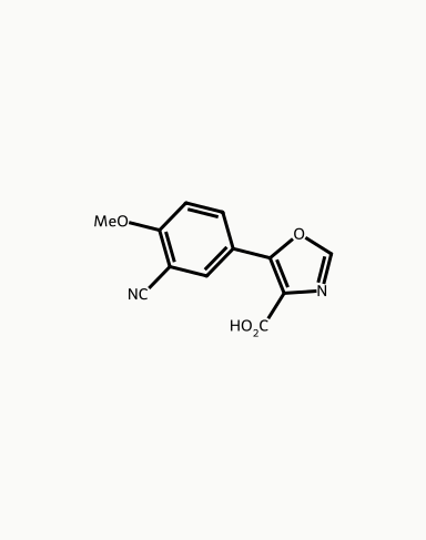 COc1ccc(-c2ocnc2C(=O)O)cc1C#N